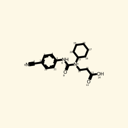 N#Cc1ccc(NC(=O)N(CCC(=O)O)C2CCCCC2)cc1